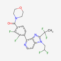 CC(F)(F)c1nc2c(-c3ccc(C(=O)N4CCOCC4)c(F)c3F)nccc2n1CC(F)F